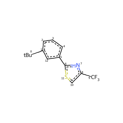 CC(C)(C)c1cccc(-c2nc(C(F)(F)F)cs2)c1